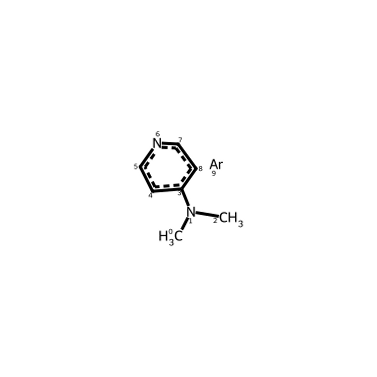 CN(C)c1ccncc1.[Ar]